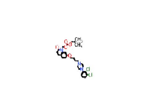 CC(C)COC(=O)OCn1c(=O)ccc2ccc(OCCCCN3CCN(c4cccc(Cl)c4Cl)CC3)cc21